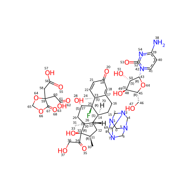 C1N2CN3CN1CN(C2)C3.C[C@@H]1C[C@H]2[C@@H]3CCC4=CC(=O)C=C[C@]4(C)[C@@]3(F)[C@@H](O)C[C@]2(C)[C@@]1(O)C(=O)CO.Nc1ccn([C@@H]2O[C@H](CO)[C@@H](O)[C@@H]2O)c(=O)n1.O=C(O)CC1(CC(=O)O)OCOC1=O